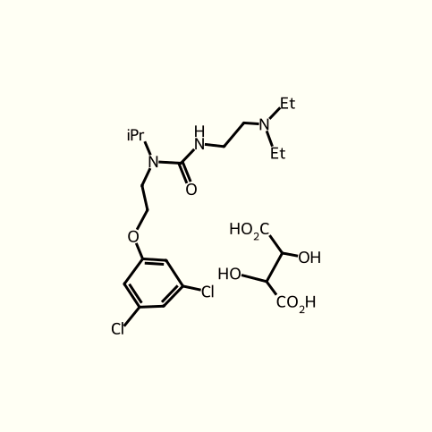 CCN(CC)CCNC(=O)N(CCOc1cc(Cl)cc(Cl)c1)C(C)C.O=C(O)C(O)C(O)C(=O)O